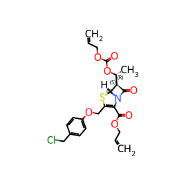 C=CCOC(=O)O[C@H](C)[C@H]1C(=O)N2C(C(=O)OCC=C)=C(COc3ccc(CCl)cc3)S[C@H]12